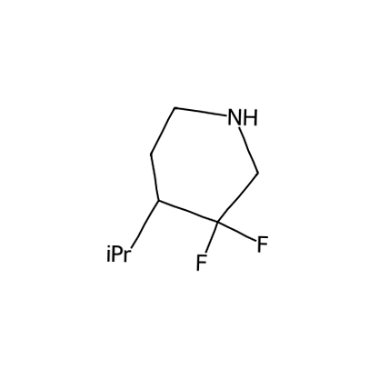 CC(C)C1CCNCC1(F)F